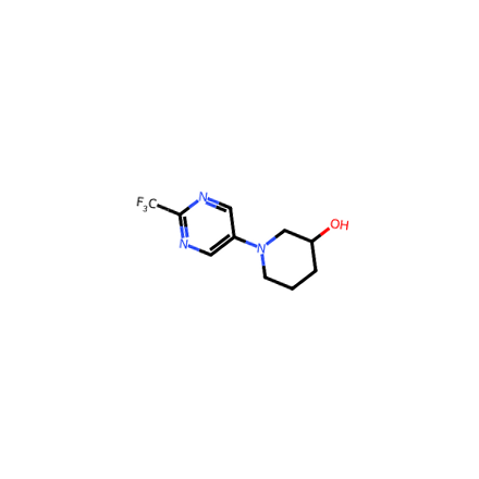 OC1CCCN(c2cnc(C(F)(F)F)nc2)C1